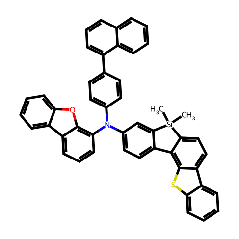 C[Si]1(C)c2cc(N(c3ccc(-c4cccc5ccccc45)cc3)c3cccc4c3oc3ccccc34)ccc2-c2c1ccc1c2sc2ccccc21